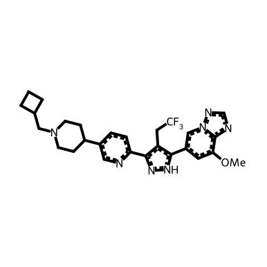 COc1cc(-c2[nH]nc(-c3ccc(C4CCN(CC5CCC5)CC4)cn3)c2CC(F)(F)F)cn2ncnc12